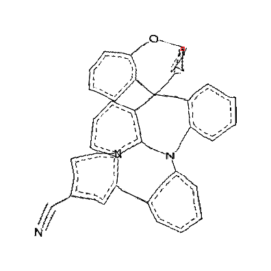 N#Cc1ccnc(-c2ccccc2N2c3ccccc3C3(c4ccccc4Oc4ccccc43)c3ccccc32)c1